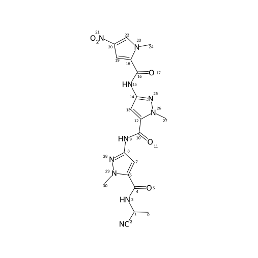 CC(C#N)NC(=O)c1cc(NC(=O)c2cc(NC(=O)c3cc([N+](=O)[O-])cn3C)nn2C)nn1C